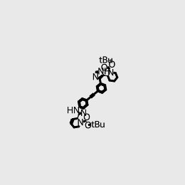 CC(C)(C)OC(=O)N1CCC#C[C@H]1c1nc2cc(C#Cc3cccc(-c4nc[nH]c4[C@@H]4CCCCN4C(=O)OC(C)(C)C)c3)ccc2[nH]1